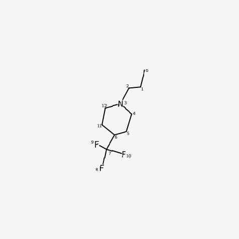 CCCN1CCC(C(F)(F)F)CC1